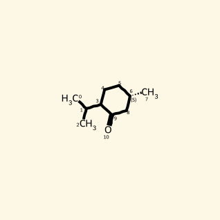 CC(C)C1CC[C@H](C)CC1=O